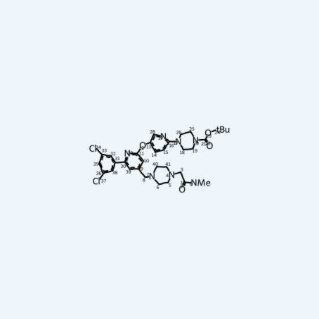 CNC(=O)CN1CCN(Cc2cc(Oc3ccc(N4CCN(C(=O)OC(C)(C)C)CC4)nc3)nc(-c3cc(Cl)cc(Cl)c3)c2)CC1